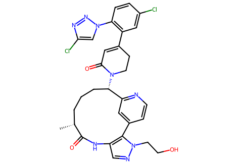 C[C@@H]1CCC[C@H](N2CCC(c3cc(Cl)ccc3-n3cc(Cl)nn3)=CC2=O)c2cc(ccn2)-c2c(cnn2CCO)NC1=O